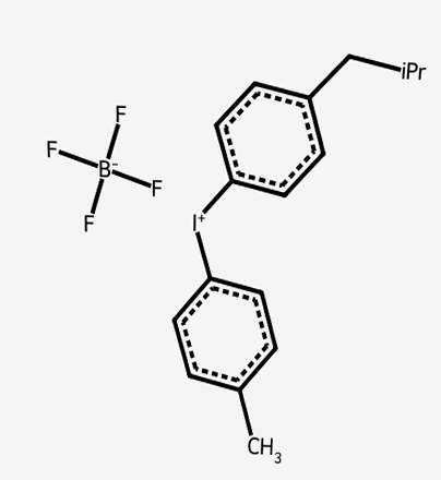 Cc1ccc([I+]c2ccc(CC(C)C)cc2)cc1.F[B-](F)(F)F